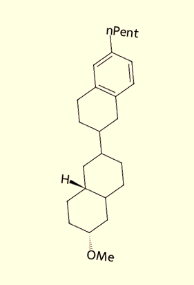 CCCCCc1ccc2c(c1)CCC(C1CCC3C[C@H](OC)CC[C@@H]3C1)C2